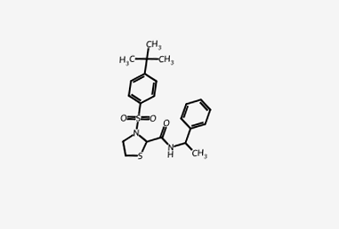 CC(NC(=O)C1SCCN1S(=O)(=O)c1ccc(C(C)(C)C)cc1)c1ccccc1